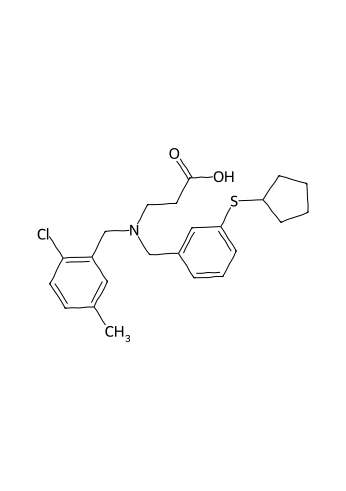 Cc1ccc(Cl)c(CN(CCC(=O)O)Cc2cccc(SC3CCCC3)c2)c1